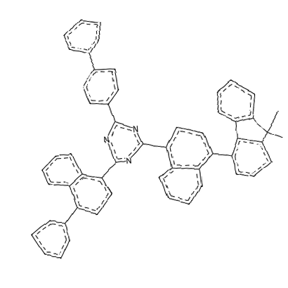 CC1(C)c2ccccc2-c2c(-c3ccc(-c4nc(-c5ccc(-c6ccccc6)cc5)nc(-c5ccc(-c6ccccc6)c6ccccc56)n4)c4ccccc34)cccc21